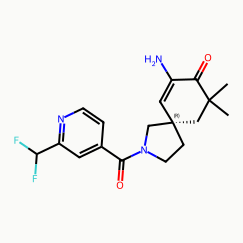 CC1(C)C[C@]2(C=C(N)C1=O)CCN(C(=O)c1ccnc(C(F)F)c1)C2